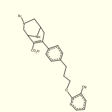 CC(=O)N1CC2CC(c3ccc(CCCOc4ncccc4C#N)cc3)=C(C(=O)O)C(C1)N2